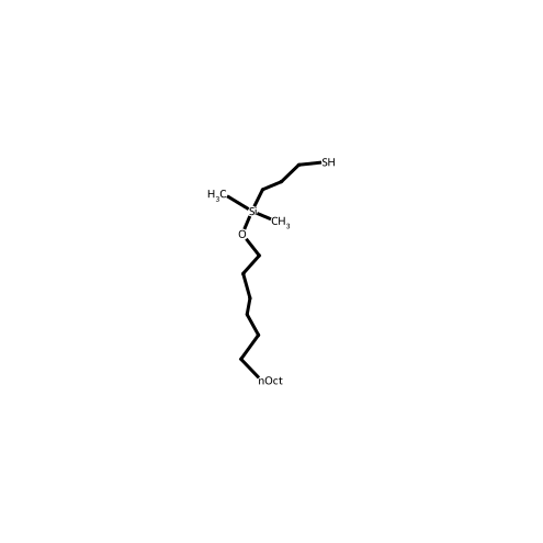 CCCCCCCCCCCCCCO[Si](C)(C)CCCS